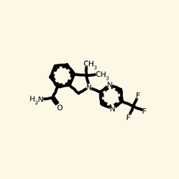 CC1(C)c2cccc(C(N)=O)c2CN1c1cnc(C(F)(F)F)cn1